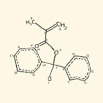 C=C(C)C(=O)OC(Cl)(c1ccccc1)c1ccccc1